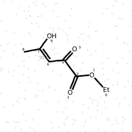 CCOC(=O)C(=O)/C=C(/C)O